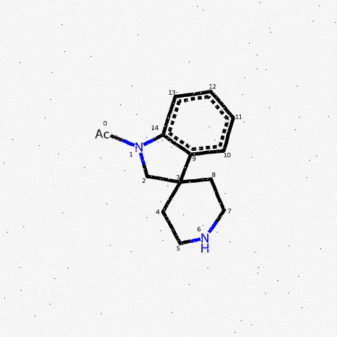 CC(=O)N1CC2(CCNCC2)c2ccccc21